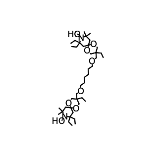 CCC1(COCCCCCCOCC2(CC)COC3(CC(C)(C)N(O)C(CC)(CC)C3)OC2)COC2(CC(C)(C)N(O)C(CC)(CC)C2)OC1